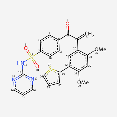 C=C(C(=O)c1ccc(S(=O)(=O)Nc2ncccn2)cc1)c1cc(-c2cccs2)c(OC)cc1OC